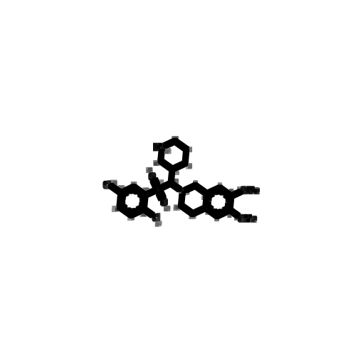 COc1cc2c(cc1OC)CN(C(C1CCCNC1)S(=O)(=O)c1cc(Cl)ccc1Cl)CC2